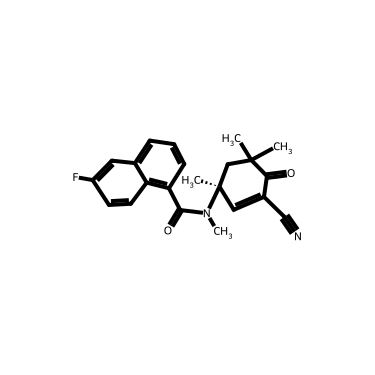 CN(C(=O)c1cccc2cc(F)ccc12)[C@]1(C)C=C(C#N)C(=O)C(C)(C)C1